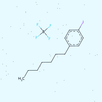 CCCCCCCc1ccc(I)cc1.F[B-](F)(F)F